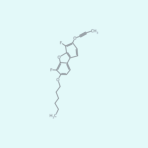 CC#COc1ccc2c(oc3c(F)c(OCCCCCC)ccc32)c1F